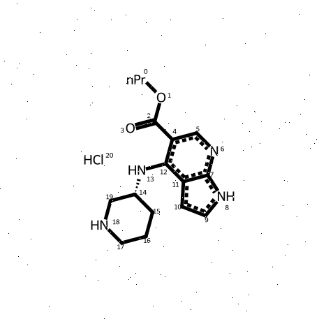 CCCOC(=O)c1cnc2[nH]ccc2c1N[C@@H]1CCCNC1.Cl